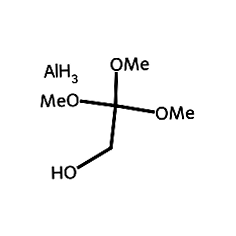 COC(CO)(OC)OC.[AlH3]